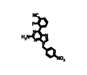 N#Cc1cccc(-c2nc(N)nc3c2ncn3Cc2ccc([N+](=O)[O-])cc2)c1F